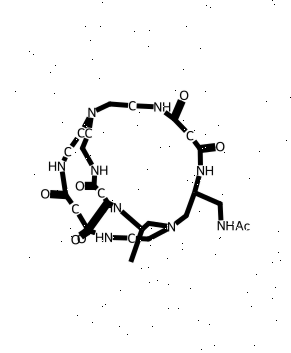 CC(=O)NCC1CN2CCNC(=O)CC(=O)NCCN(CCNC(=O)CC(=O)NC(C)C2)CCNC(=O)CC(=O)N1